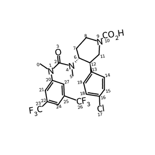 CN(C(=O)N(C)[C@@H]1CCN(C(=O)O)C[C@H]1c1ccc(Cl)cc1)c1cc(C(F)(F)F)cc(C(F)(F)F)c1